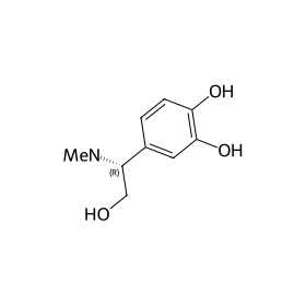 CN[C@@H](CO)c1ccc(O)c(O)c1